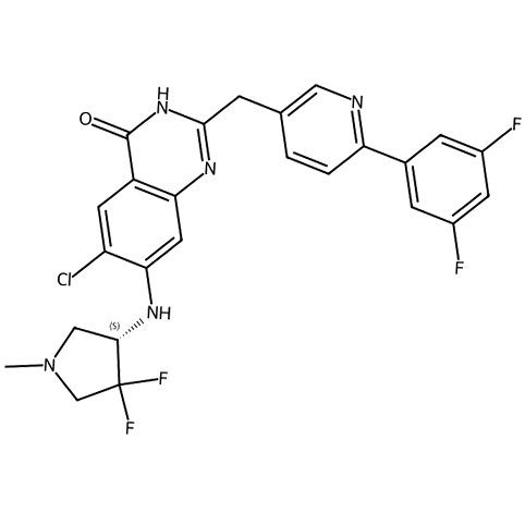 CN1C[C@H](Nc2cc3nc(Cc4ccc(-c5cc(F)cc(F)c5)nc4)[nH]c(=O)c3cc2Cl)C(F)(F)C1